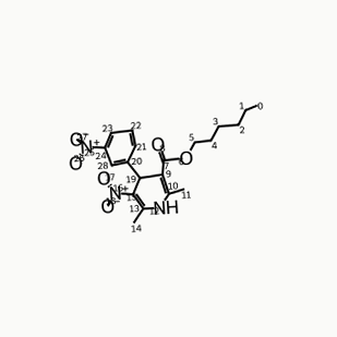 CCCCCCOC(=O)C1=C(C)NC(C)=C([N+](=O)[O-])C1c1cccc([N+](=O)[O-])c1